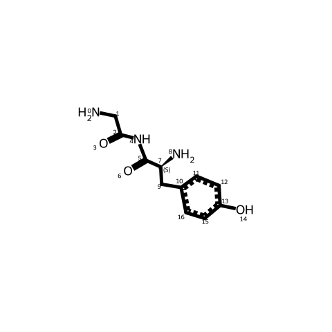 NCC(=O)NC(=O)[C@@H](N)Cc1ccc(O)cc1